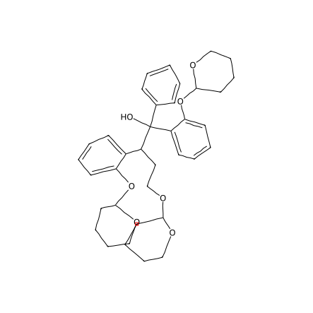 OC(c1ccccc1)(c1ccccc1OC1CCCCO1)C(CCOC1CCCCO1)c1ccccc1OC1CCCCO1